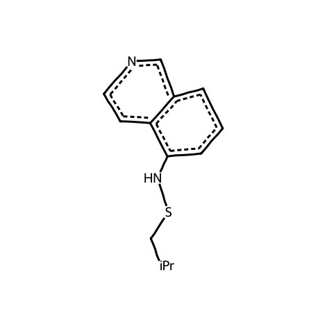 CC(C)CSNc1cccc2cnccc12